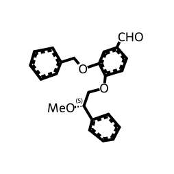 CO[C@H](COc1ccc(C=O)cc1OCc1ccccc1)c1ccccc1